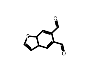 O=CC1=CC2C=CSC2C=C1C=O